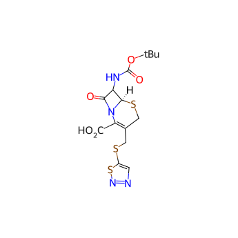 CC(C)(C)OC(=O)NC1C(=O)N2C(C(=O)O)=C(CSc3cnns3)CS[C@H]12